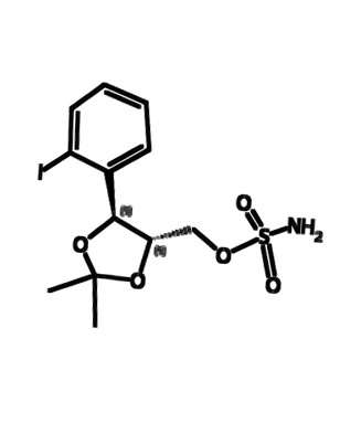 CC1(C)O[C@@H](COS(N)(=O)=O)[C@H](c2ccccc2I)O1